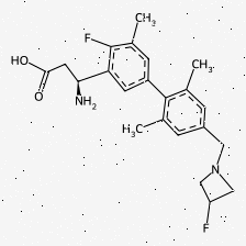 Cc1cc(-c2c(C)cc(CN3CC(F)C3)cc2C)cc([C@@H](N)CC(=O)O)c1F